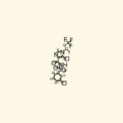 CC(CC(F)(F)F)n1cnc(C(=O)NS(=O)(=O)c2cccc(Cl)c2)c1Cl